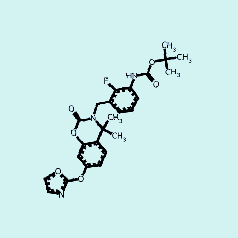 CC(C)(C)OC(=O)Nc1cccc(CN2C(=O)Oc3cc(Oc4ncco4)ccc3C2(C)C)c1F